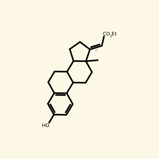 CCOC(=O)/C=C1\CCC2C3CCc4cc(O)ccc4C3CCC12C